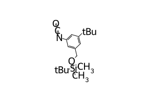 CC(C)(C)c1cc(CO[Si](C)(C)C(C)(C)C)cc(N=C=O)c1